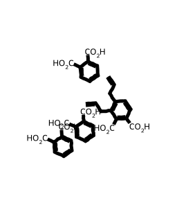 C=CCc1ccc(C(=O)O)c(C(=O)O)c1CC=C.O=C(O)c1ccccc1C(=O)O.O=C(O)c1ccccc1C(=O)O.O=C(O)c1ccccc1C(=O)O